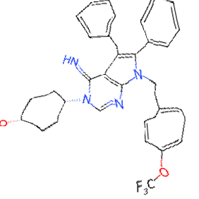 N=c1c2c(-c3ccccc3)c(-c3ccccc3)n(Cc3ccc(OC(F)(F)F)cc3)c2ncn1[C@H]1CC[C@@H](O)CC1